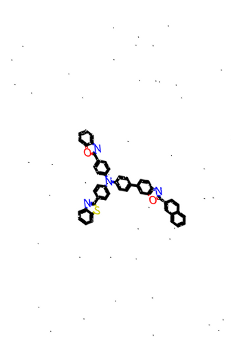 c1ccc2cc(-c3nc4ccc(-c5ccc(N(c6ccc(-c7nc8ccccc8o7)cc6)c6ccc(-c7nc8ccccc8s7)cc6)cc5)cc4o3)ccc2c1